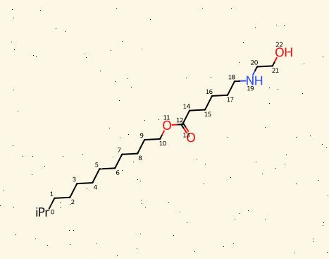 CC(C)CCCCCCCCCCOC(=O)CCCCCNCCO